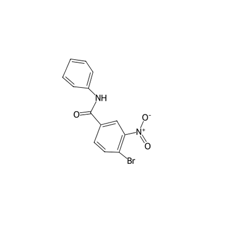 O=C(Nc1ccccc1)c1ccc(Br)c([N+](=O)[O-])c1